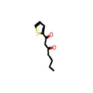 CCCCC(=O)CC(=O)c1cccs1